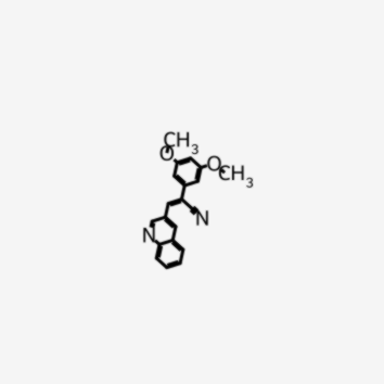 COc1cc(OC)cc(C(C#N)=Cc2cnc3ccccc3c2)c1